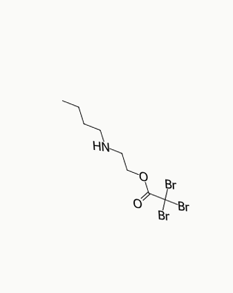 CCCCNCCOC(=O)C(Br)(Br)Br